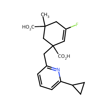 CC1(C(=O)O)CC(F)=CC(Cc2cccc(C3CC3)n2)(C(=O)O)C1